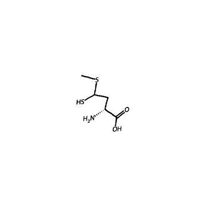 CSC(S)C[C@@H](N)C(=O)O